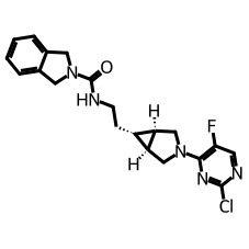 O=C(NCC[C@@H]1[C@H]2CN(c3nc(Cl)ncc3F)C[C@@H]12)N1Cc2ccccc2C1